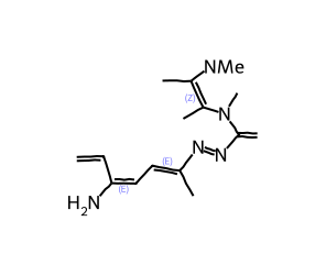 C=C/C(N)=C\C=C(/C)N=NC(=C)N(C)/C(C)=C(/C)NC